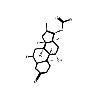 CCC(=O)O[C@@H]1[C@H](C)C[C@H]2[C@@H]3C[C@H](F)C4CC(=O)CC[C@]4(C)[C@@]3(F)[C@@H](O)C[C@]12C